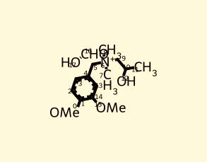 COc1ccc(C[N+](C)(C)CC(C)O)cc1OC.O=CO